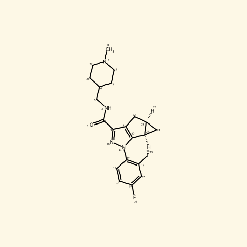 CN1CCC(CNC(=O)c2nn(-c3ccc(F)cc3F)c3c2C[C@H]2C[C@@H]32)CC1